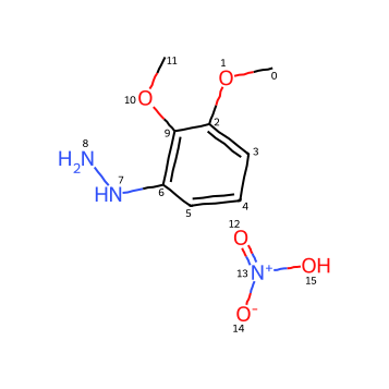 COc1cccc(NN)c1OC.O=[N+]([O-])O